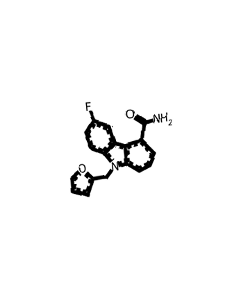 NC(=O)c1cccc2c1c1[c]c(F)ccc1n2Cc1ccco1